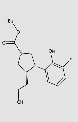 CC(C)(C)OC(=O)N1C[C@H](CCO)[C@@H](c2cccc(F)c2O)C1